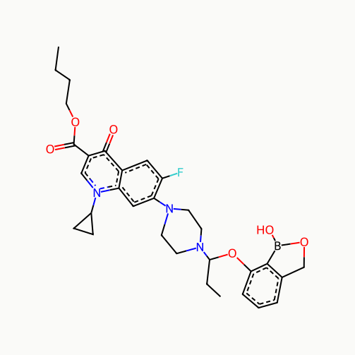 CCCCOC(=O)c1cn(C2CC2)c2cc(N3CCN(C(CC)Oc4cccc5c4B(O)OC5)CC3)c(F)cc2c1=O